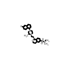 C[C@@H]1CN(c2cccc3cc(F)ccc23)CCN1CC[C@@H]1OCCc2cc(S(=O)(=O)N(C)C)ccc21